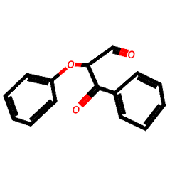 O=[C]C(Oc1ccccc1)C(=O)c1ccccc1